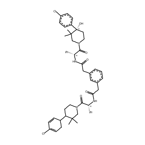 CC(C)[C@@H](NC(=O)Cc1cccc(CC(=O)N[C@@H](C(=O)N2CC[C@](O)(c3ccc(Cl)cc3)C(C)(C)C2)C(C)C)c1)C(=O)N1CCC(C2C=CC(Cl)=CC2)C(C)(C)C1